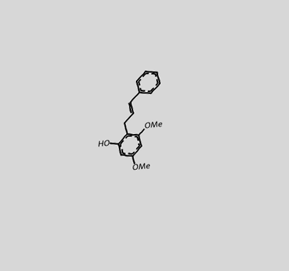 COc1cc(O)c(CC=Cc2ccccc2)c(OC)c1